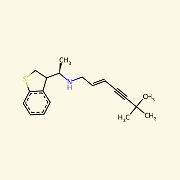 C[C@@H](NC/C=C/C#CC(C)(C)C)C1CSc2ccccc21